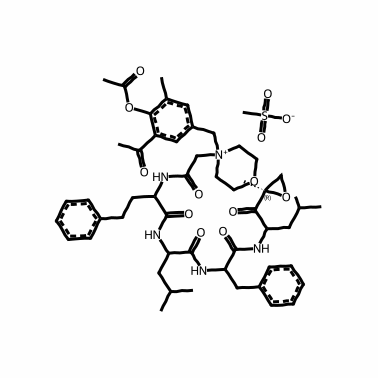 CC(=O)Oc1c(C)cc(C[N+]2(CC(=O)NC(CCc3ccccc3)C(=O)NC(CC(C)C)C(=O)NC(Cc3ccccc3)C(=O)NC(CC(C)C)C(=O)[C@@]3(C)CO3)CCOCC2)cc1C(C)=O.CS(=O)(=O)[O-]